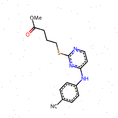 COC(=O)CCCSc1nccc(Nc2ccc(C#N)cc2)n1